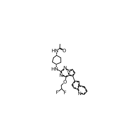 CC(=O)N[C@H]1CC[C@@H](Nc2nc(OCC(F)F)c3c(-c4ccc5ncccc5c4)ccn3n2)CC1